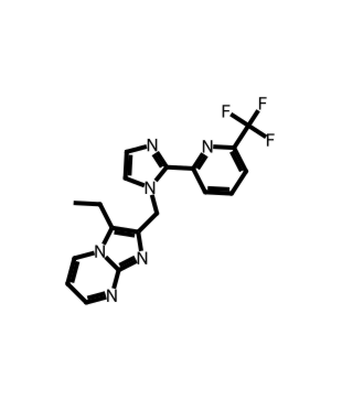 CCc1c(Cn2ccnc2-c2cccc(C(F)(F)F)n2)nc2ncccn12